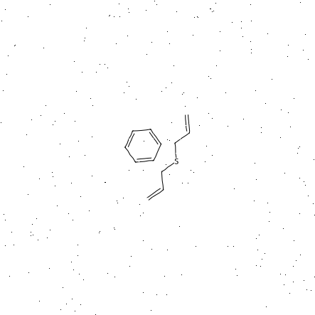 C=CCSCC=C.c1ccccc1